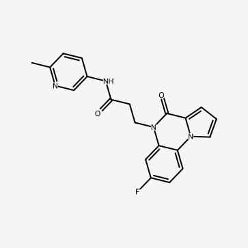 Cc1ccc(NC(=O)CCn2c(=O)c3cccn3c3ccc(F)cc32)cn1